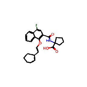 O=C(NC1(C(=O)O)CCCC1)c1cc(F)c2ccccc2c1OCCC1CCCCC1